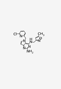 Cc1cc(CNc2nc(N)nc3ccn(Cc4cccc(Cl)n4)c23)no1